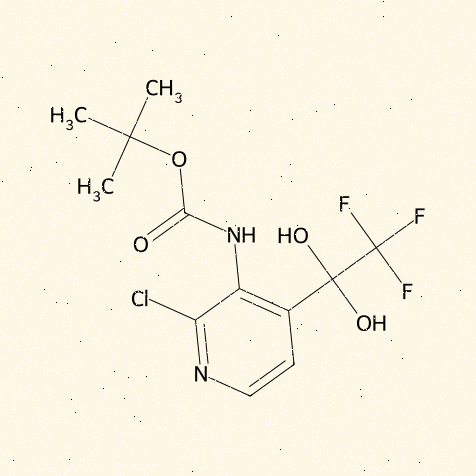 CC(C)(C)OC(=O)Nc1c(C(O)(O)C(F)(F)F)ccnc1Cl